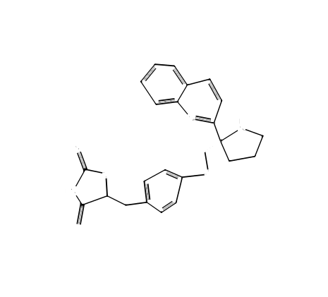 N=C1NC(=O)C(Cc2ccc(OC[C@@]3(c4ccc5ccccc5n4)CCCN3)cc2)S1